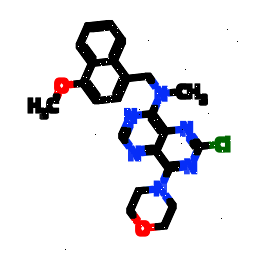 COc1ccc(CN(C)c2ncnc3c(N4CCOCC4)nc(Cl)nc23)c2ccccc12